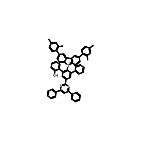 Cc1ccc(-c2ccc3c(c2)c2cc(-c4ccc(C)cc4C)ccc2n3-c2c(-c3ccccc3C#N)cc(-c3nc(-c4ccccc4)cc(-c4ccccc4)n3)cc2-c2ccccc2C#N)c(C)c1